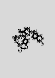 CCCCSCCN1C(=O)COc2ccc(-n3c4nc(Nc5ccc6c(c5)CCN(C)C6)ncc4c(=O)n3CCC)cc21